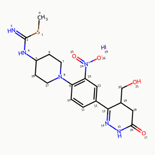 CSC(=N)NC1CCN(c2ccc(C3=NNC(=O)CC3CO)cc2[N+](=O)[O-])CC1.I